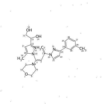 C=C(/C=C(/N1CCOCC1)n1nc(C(O)CO)cc1C)n1ccc(-c2cccc(C)c2)n1